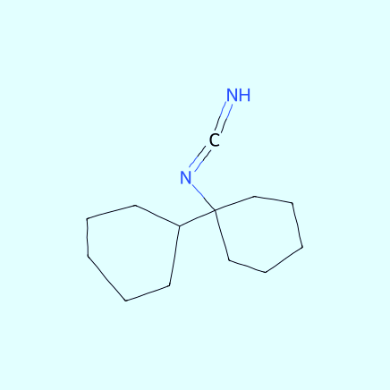 N=C=NC1(C2CCCCC2)CCCCC1